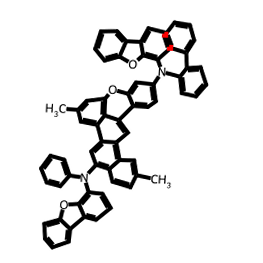 Cc1ccc2c(N(c3ccccc3)c3cccc4c3oc3ccccc34)cc3c4cc(C)cc5c4c(cc3c2c1)-c1ccc(N(c2ccccc2-c2ccccc2)c2cccc3c2oc2ccccc23)cc1O5